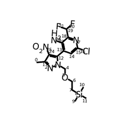 Cc1nn(COCC[Si](C)(C)C)c(-c2cc(Cl)nc(C(F)F)c2N)c1[N+](=O)[O-]